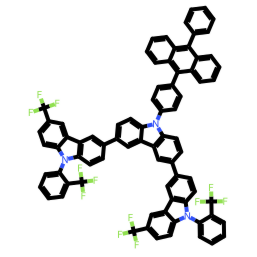 FC(F)(F)c1ccc2c(c1)c1cc(-c3ccc4c(c3)c3cc(-c5ccc6c(c5)c5cc(C(F)(F)F)ccc5n6-c5ccccc5C(F)(F)F)ccc3n4-c3ccc(-c4c5ccccc5c(-c5ccccc5)c5ccccc45)cc3)ccc1n2-c1ccccc1C(F)(F)F